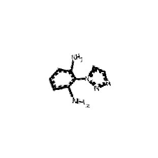 Nc1cccc(N)c1-n1ccnn1